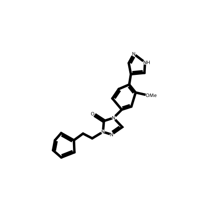 COc1cc(-n2cnn(CCc3ccccc3)c2=O)ccc1-c1cn[nH]c1